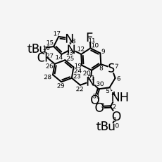 CC(C)(C)OC(=O)N[C@H]1CSc2cc(F)c(-n3cc(C(C)(C)C)cn3)cc2N(Cc2ccc(Cl)cc2)C1=O